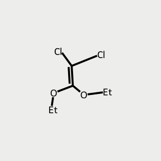 CCOC(OCC)=C(Cl)Cl